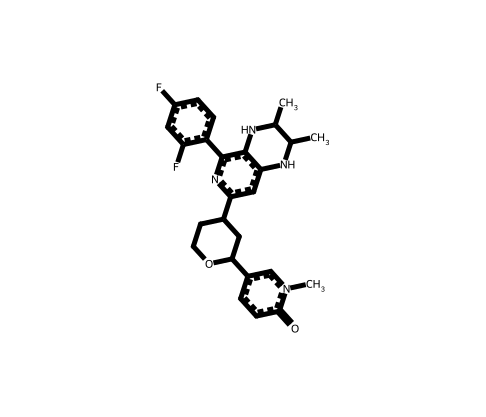 CC1Nc2cc(C3CCOC(c4ccc(=O)n(C)c4)C3)nc(-c3ccc(F)cc3F)c2NC1C